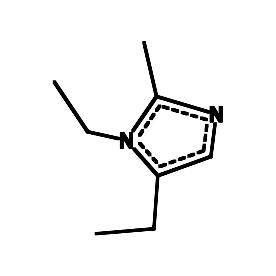 CCc1cnc(C)n1CC